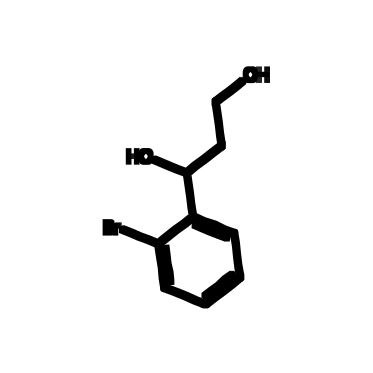 OCCC(O)c1ccccc1Br